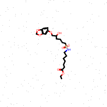 CCOC(=O)CCCCCCNS(=O)(=O)CCCCC(O)COc1ccc2c(c1)OCO2